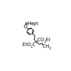 C=CCC(CCc1ccc(OCCCCCCC)cc1)(C(=O)OCC)C(=O)OCC